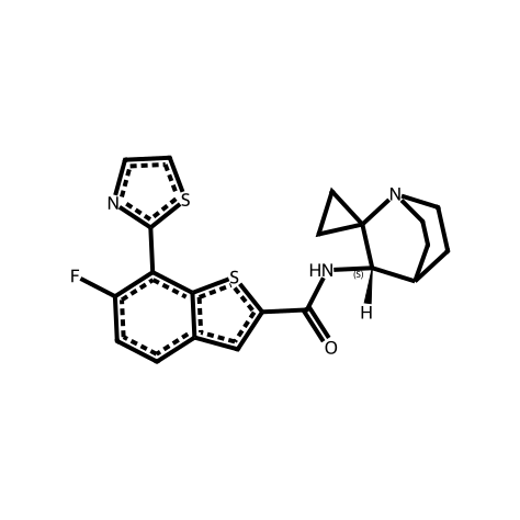 O=C(N[C@H]1C2CCN(CC2)C12CC2)c1cc2ccc(F)c(-c3nccs3)c2s1